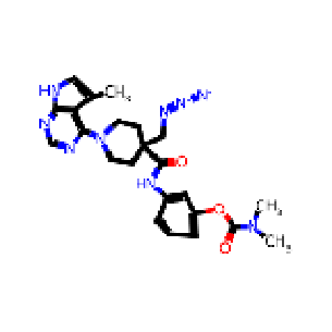 Cc1c[nH]c2ncnc(N3CCC(CN=[N+]=[N-])(C(=O)Nc4cccc(OC(=O)N(C)C)c4)CC3)c12